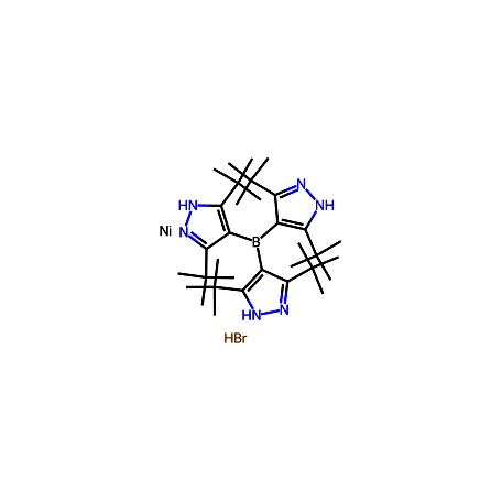 Br.CC(C)(C)c1n[nH]c(C(C)(C)C)c1B(c1c(C(C)(C)C)n[nH]c1C(C)(C)C)c1c(C(C)(C)C)n[nH]c1C(C)(C)C.[Ni]